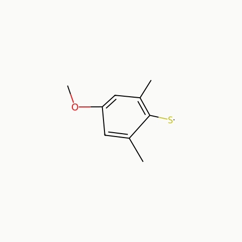 COc1cc(C)c([S])c(C)c1